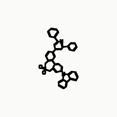 O=S1(=O)Cc2cc(-n3c4ccccc4c4ccccc43)ccc2-c2cc(-c3cc(-c4ccccc4)nc(-c4ccccc4)c3)ccc2C1